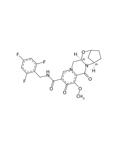 COc1c2n(cc(C(=O)NCc3c(F)cc(F)cc3F)c1=O)C[C@H]1OC3CC[C@H](C3)N1C2=O